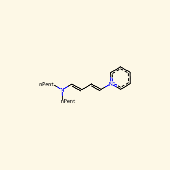 CCCCCN(C=CC=C[n+]1ccccc1)CCCCC